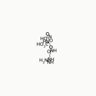 N=C(N)NCCCCC(=O)Nc1ccc(CC(NC(=O)C2=Nc3ccccc3C2O)C(=O)O)cc1